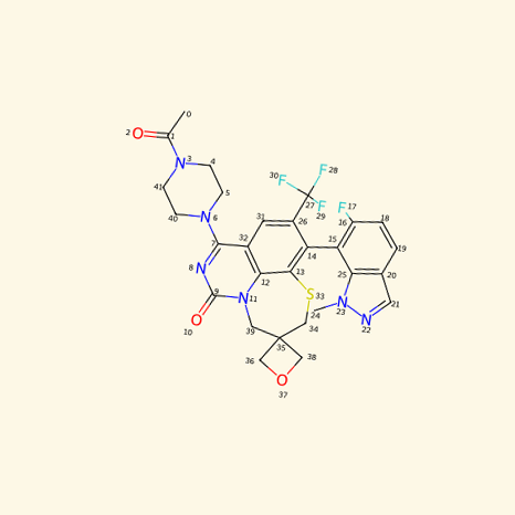 CC(=O)N1CCN(c2nc(=O)n3c4c(c(-c5c(F)ccc6cnn(C)c56)c(C(F)(F)F)cc24)SCC2(COC2)C3)CC1